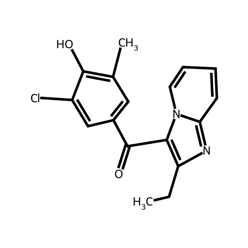 CCc1nc2ccccn2c1C(=O)c1cc(C)c(O)c(Cl)c1